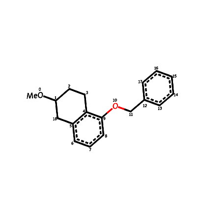 COC1CCc2c(cccc2OCc2ccccc2)C1